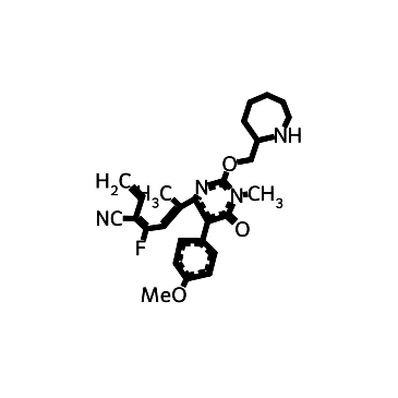 C=C/C(C#N)=C(F)\C=C(/C)c1nc(OCC2CCCCCN2)n(C)c(=O)c1-c1ccc(OC)cc1